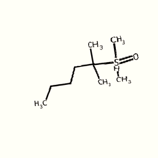 CCCCC(C)(C)[SH](C)(C)=O